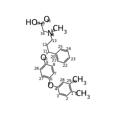 Cc1ccc(Oc2ccc(OC(CCN(C)CC(=O)O)c3ccccc3)cc2)cc1C